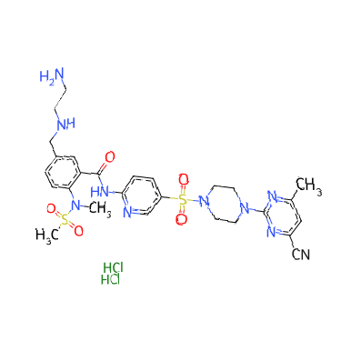 Cc1cc(C#N)nc(N2CCN(S(=O)(=O)c3ccc(NC(=O)c4cc(CNCCN)ccc4N(C)S(C)(=O)=O)nc3)CC2)n1.Cl.Cl